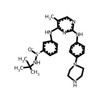 Cc1cnc(Nc2ccc(N3CCNCC3)cc2)nc1Nc1cccc([S+]([O-])NC(C)(C)C)c1